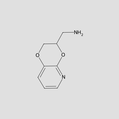 NCC1COc2cccnc2O1